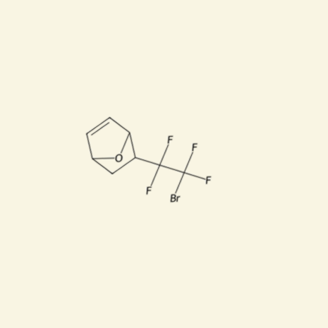 FC(F)(Br)C(F)(F)C1CC2C=CC1O2